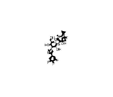 CN(CC1CC1)C(=O)C(S[C@@H]1O[C@H](CO)[C@H](O)[C@H](n2cc(-c3cc(F)c(F)c(F)c3)nn2)[C@H]1O)C1(O)CC(F)(F)C1